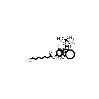 CCCCCCCC(=O)Oc1cc(F)c2c(c1)[C@@]1(C)CCCCC[C@@H](C2)[C@@H]1NC(=O)OC(C)(C)C